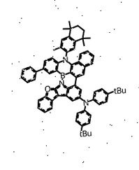 Cc1cc2c(cc1N1c3ccc(-c4ccccc4)cc3B3c4c(cc5ccccc5c41)-c1cc(N(c4ccc(C(C)(C)C)cc4)c4ccc(C(C)(C)C)cc4)cc4c5c6ccccc6oc5n3c14)C(C)(C)CCC2(C)C